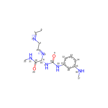 C/C=N\C/C=N/[C@H](NC(=O)Nc1cccc(NC)c1)C(=O)NC